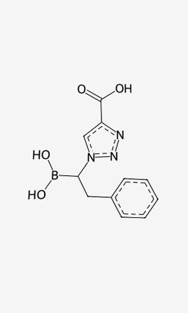 O=C(O)c1cn(C(Cc2ccccc2)B(O)O)nn1